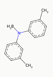 BN(c1cccc(C)c1)c1cccc(C)c1